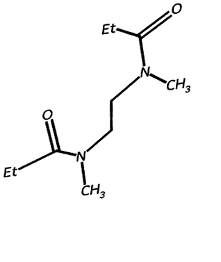 CCC(=O)N(C)CCN(C)C(=O)CC